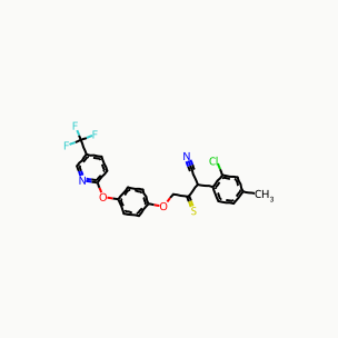 Cc1ccc(C(C#N)C(=S)COc2ccc(Oc3ccc(C(F)(F)F)cn3)cc2)c(Cl)c1